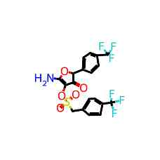 NC1=C(OS(=O)(=O)Cc2ccc(C(F)(F)F)cc2)C(=O)C(c2ccc(C(F)(F)F)cc2)O1